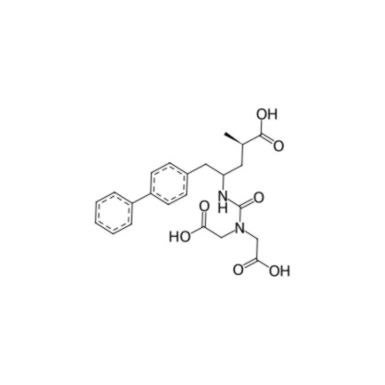 C[C@H](CC(Cc1ccc(-c2ccccc2)cc1)NC(=O)N(CC(=O)O)CC(=O)O)C(=O)O